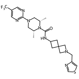 C[C@@H]1CN(c2ncc(C(F)(F)F)cn2)C[C@H](C)N1C(=O)NC1CC2(C1)CN(Cc1cscn1)C2